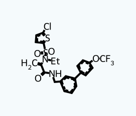 C=C(C(=O)NCc1cccc(-c2ccc(OC(F)(F)F)cc2)c1)N(CC)S(=O)(=O)c1ccc(Cl)s1